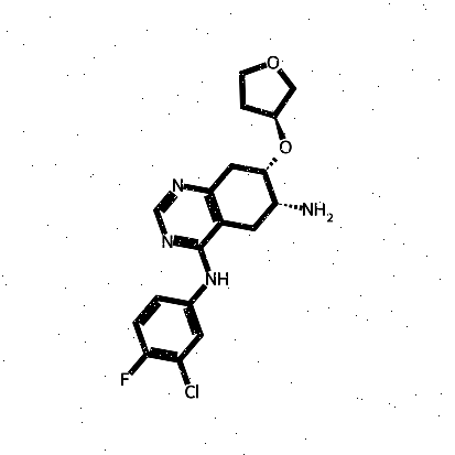 N[C@@H]1Cc2c(ncnc2Nc2ccc(F)c(Cl)c2)C[C@@H]1O[C@H]1CCOC1